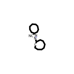 N#CC1(/N=N/C2CCCCCCCC2)CCCCCCCC1